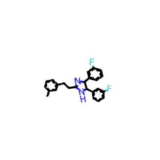 Cc1cccc(CCC2=NC(c3cccc(F)c3)C(c3cccc(F)c3)N2)c1